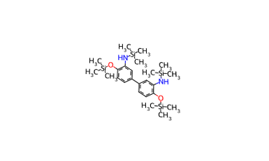 C[Si](C)(C)Nc1cc(-c2ccc(O[Si](C)(C)C)c(N[Si](C)(C)C)c2)ccc1O[Si](C)(C)C